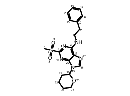 CS(=O)(=O)c1nc(NCCc2ccccc2)c2ncn(C3CCCCO3)c2n1